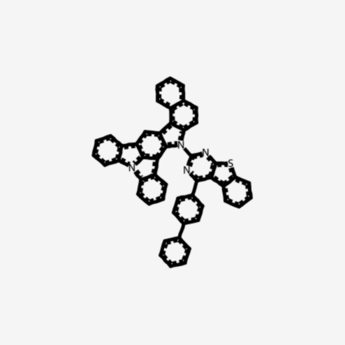 c1ccc(-c2ccc(-c3nc(-n4c5ccc6ccccc6c5c5cc6c7ccccc7n7c8ccccc8c(c54)c67)nc4sc5ccccc5c34)cc2)cc1